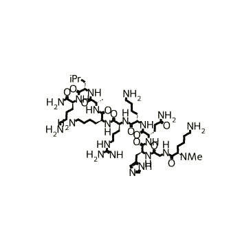 CN[C@@H](CCCCN)C(=O)NCC(=O)N[C@@H](Cc1cnc[nH]1)C(=O)N[C@@H](CCC(N)=O)C(=O)N[C@@H](CCCCN)C(=O)N[C@@H](CCCNC(=N)N)C(=O)N[C@@H](CCCCN)C(=O)N[C@@H](C)C(=O)N[C@@H](CC(C)C)C(=O)N[C@@H](CCCCN)C(N)=O